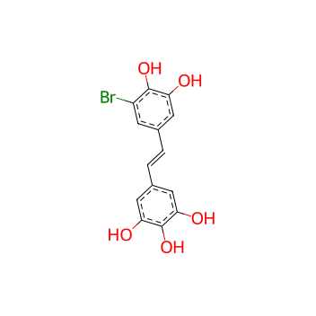 Oc1cc(/C=C/c2cc(O)c(O)c(Br)c2)cc(O)c1O